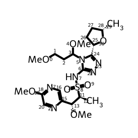 COCCC(OC)n1c(NS(=O)(=O)[C@@H](C)[C@H](OC)c2cnc(OC)cn2)nnc1[C@@H]1CC[C@H](C)O1